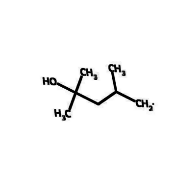 [CH2]C(C)CC(C)(C)O